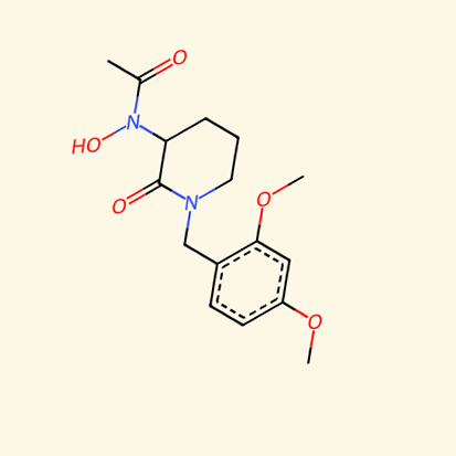 COc1ccc(CN2CCCC(N(O)C(C)=O)C2=O)c(OC)c1